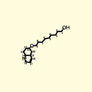 OCCCCCCCCCOC1CCC2N=CC=CC2C1